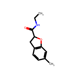 CCNC(=O)C1Cc2ccc(C)cc2O1